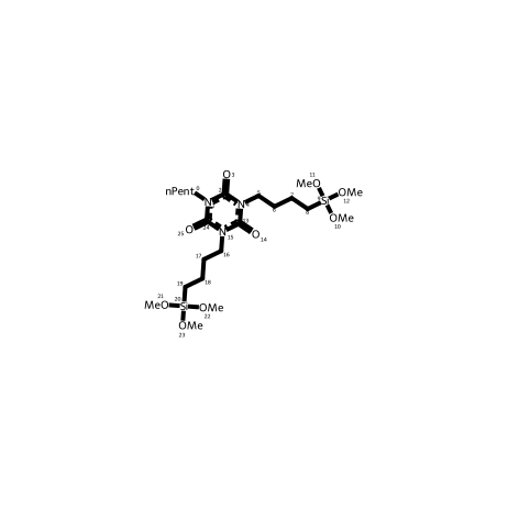 CCCCCn1c(=O)n(CCCC[Si](OC)(OC)OC)c(=O)n(CCCC[Si](OC)(OC)OC)c1=O